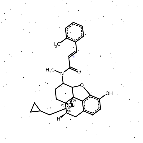 Cc1ccccc1/C=C/C(=O)N(C)C1CC[C@@]2(O)[C@H]3Cc4ccc(O)c5c4[C@@]2(CCN3CC2CC2)C1O5